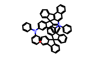 c1ccc(N(c2ccccc2)c2ccc3c(c2)-c2ccccc2C32c3ccccc3-c3c2c(N(c2ccccc2)c2cccc4c2-c2ccccc2C42c4ccccc4-c4ccccc42)cc2ccccc32)cc1